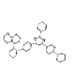 C1=CC(c2nc(-c3ccc(C4=CCCC=C4c4cccc5ccccc45)cc3)cc(-c3ccc(-c4ccccc4)cc3)n2)=CCC1